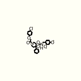 COc1ccc(CNC(=O)OC2(c3ccccc3)CCN(C(=O)COc3ccc(Cl)cc3)CC2)c(OC)c1